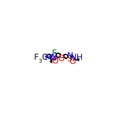 O=C(Nc1nc2ccc(Oc3ccc(F)c(NC(=O)C4(c5cccc(C(F)(F)F)c5)CC4)c3)cc2s1)C1CC1